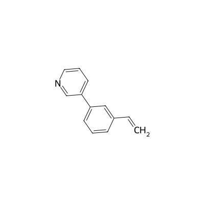 C=Cc1cccc(-c2cccnc2)c1